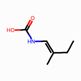 CCC(C)=CNC(=O)O